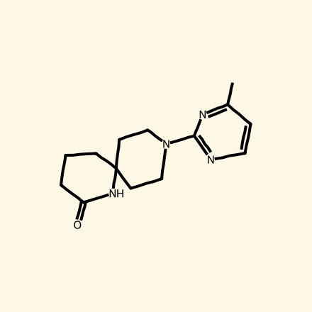 Cc1ccnc(N2CCC3(CCCC(=O)N3)CC2)n1